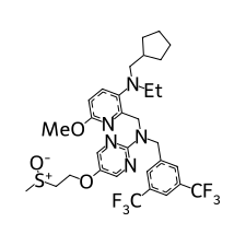 CCN(CC1CCCC1)c1ccc(OC)nc1CN(Cc1cc(C(F)(F)F)cc(C(F)(F)F)c1)c1ncc(OCC[S+](C)[O-])cn1